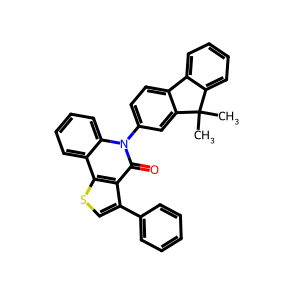 CC1(C)c2ccccc2-c2ccc(-n3c(=O)c4c(-c5ccccc5)csc4c4ccccc43)cc21